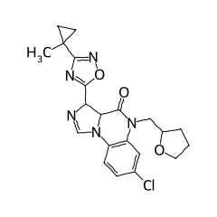 CC1(c2noc(C3N=CN4c5ccc(Cl)cc5N(CC5CCCO5)C(=O)C34)n2)CC1